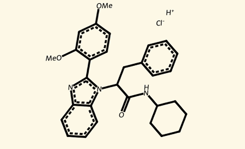 COc1ccc(-c2nc3ccccc3n2C(Cc2ccccc2)C(=O)NC2CCCCC2)c(OC)c1.[Cl-].[H+]